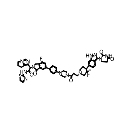 O=C1CCN(c2n[nH]c3cc(C4CCN(CCC(=O)N5CCN(c6ccc(-c7cc(F)c8c(c7)C(=O)N(C(C(=O)Nc7nccs7)c7ncn9c7CCC9)C8)cc6)CC5)CC4(F)F)ccc23)C(=O)N1